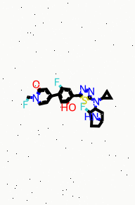 O=c1cc(-c2cc(O)c(-c3nnc(N(C4CC4)C4CC5CCC(N5)C4F)s3)cc2F)ccn1CF